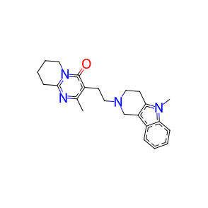 Cc1nc2n(c(=O)c1CCN1CCc3c(c4ccccc4n3C)C1)CCCC2